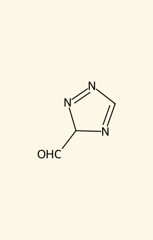 O=CC1N=CN=N1